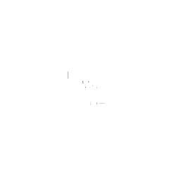 CO.[I][Mg][I]